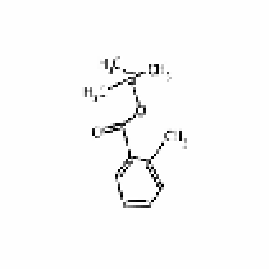 Cc1ccccc1C(=O)O[Si](C)(C)C